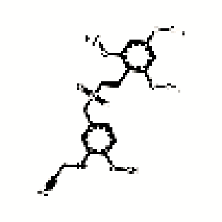 C#CCNc1cc(CS(=O)(=O)C=Cc2c(OC)cc(OC)cc2OC)ccc1OC